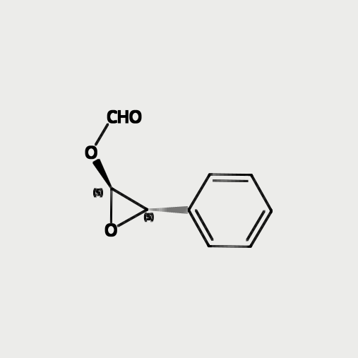 O=CO[C@@H]1O[C@H]1c1ccccc1